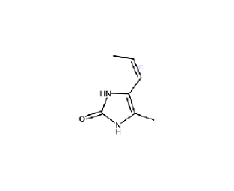 C/C=C\c1[nH]c(=O)[nH]c1C